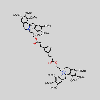 COc1cc(CC2c3c(cc(OC)c(OC)c3OC)CC[N+]2(C)CCCOC(=O)CCc2cccc(CCC(=O)OCCC[N@+]3(C)CCc4cc(OC)c(OC)c(OC)c4[C@H]3Cc3cc(OC)c(OC)c(OC)c3)c2)cc(OC)c1OC